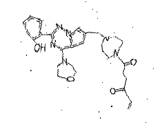 C=CC(=O)CCC(=O)N1CCN(Cc2cc3c(N4CCOCC4)nc(-c4ccccc4O)nn3c2)CC1